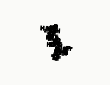 CC(C)OC(=O)[C@H](C)NP(=O)(OC[C@H]1C2(C)OC3(F)C([C@@H]3n3cnc4cc5c(N)nc(=O)[nH]c5cc43)C12CO)Oc1ccccc1